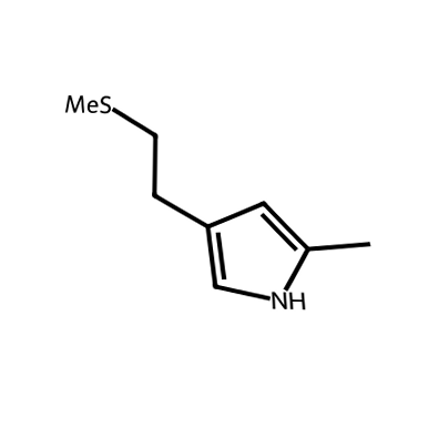 CSCCc1c[nH]c(C)c1